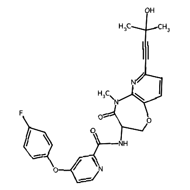 CN1C(=O)C(NC(=O)c2cc(Oc3ccc(F)cc3)ccn2)COc2ccc(C#CC(C)(C)O)nc21